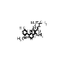 COc1ccc(C)cc1-c1cccc2c(N)c(C(=O)NCC(C)C)nnc12